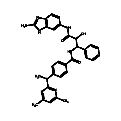 Cc1cc(C)nc(N(C)c2ccc(C(=O)NC(c3ccccc3)C(O)C(=O)Nc3ccc4nc(N)[nH]c4c3)cc2)n1